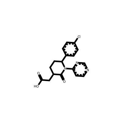 O=C(O)CC1CCC(c2ccc(Cl)cc2)N(c2ccncn2)C1=O